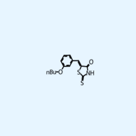 CCCCOc1cccc(/C=C2\SC(=S)NC2=O)c1